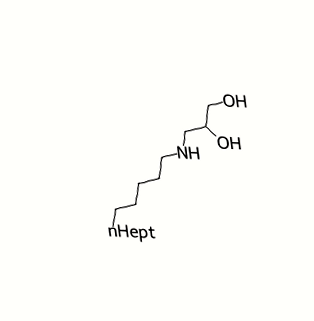 CCCCCCCCCCCCNCC(O)CO